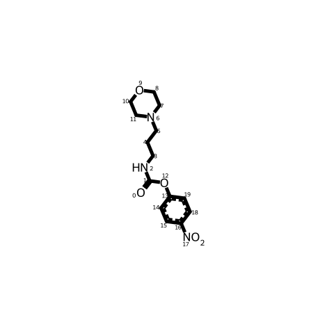 O=C(NCCCN1CCOCC1)Oc1ccc([N+](=O)[O-])cc1